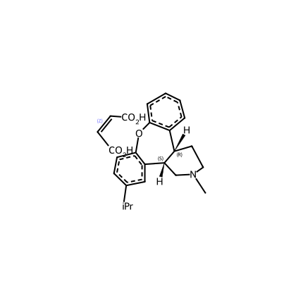 CC(C)c1ccc2c(c1)[C@H]1CN(C)CC[C@H]1c1ccccc1O2.O=C(O)/C=C\C(=O)O